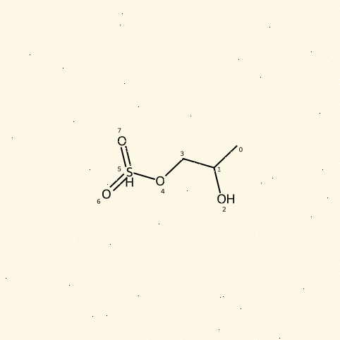 CC(O)CO[SH](=O)=O